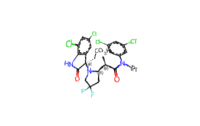 CC(C)N(C(=O)[C@H](C)[C@H]1CC(F)(F)CN1[C@@]1(CC(=O)O)C(=O)Nc2c(Cl)cc(Cl)cc21)c1cc(Cl)cc(Cl)c1